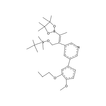 CCCOc1cc(-c2cncc(C(CO[Si](C)(C)C(C)(C)C)=C(C)B3OC(C)(C)C(C)(C)O3)c2)ccc1OC